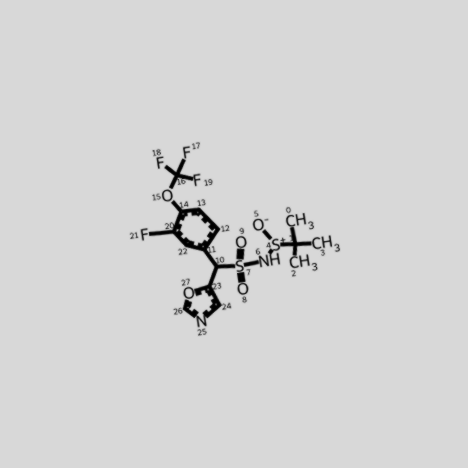 CC(C)(C)[S+]([O-])NS(=O)(=O)C(c1ccc(OC(F)(F)F)c(F)c1)c1cnco1